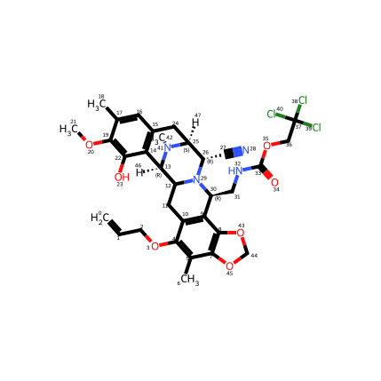 C=CCOc1c(C)c2c(c3c1CC1[C@H]4c5c(cc(C)c(OC)c5O)C[C@@H]([C@H](C#N)N1[C@H]3CNC(=O)OCC(Cl)(Cl)Cl)N4C)OCO2